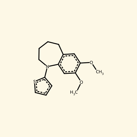 COc1cc2c(cc1OC)N(c1cccs1)CCCC2